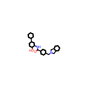 O=C(Nc1cc(-c2ccccc2)ccc1O)c1ccc(CN2Cc3ccccc3C2)cc1